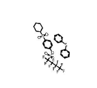 O=S(=O)(c1ccc(OS(=O)(=O)C(F)(F)C(F)(F)C(F)(F)C(F)(F)F)cc1)C1CCCCC1.c1ccc(Sc2ccccc2)cc1